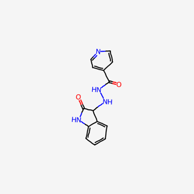 O=C(NNC1C(=O)Nc2ccccc21)c1ccncc1